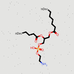 CCCCCCCCCCCCCCCC(=O)OCC(COP(=O)(O)OCCN)OC(=O)CCCCCCCCCCCCC